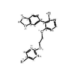 Clc1ncnc(OCCOc2ncc(Br)cn2)c1-c1ccc2c(c1)OCO2